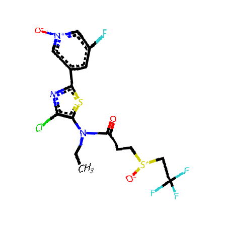 CCN(C(=O)CC[S+]([O-])CC(F)(F)F)c1sc(-c2cc(F)c[n+]([O-])c2)nc1Cl